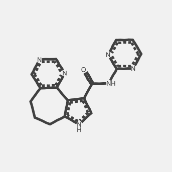 O=C(Nc1ncccn1)c1c[nH]c2c1-c1ncncc1CCC2